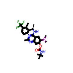 Cc1nc(N[C@H](C)c2cccc(C(F)(F)F)c2C)c2cc(P(C)C)c(OC(=O)NC(C)(C)C)cc2n1